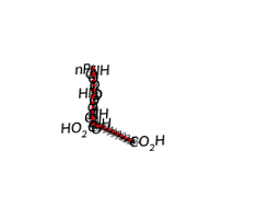 CCCNC(=O)COCCOCCNC(=O)COCCOCCNC(=O)CC[C@H](NC(=O)CCCCCCCCCCCCCCCCC(=O)O)C(=O)O